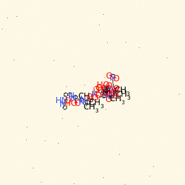 Cc1c(-c2ccc(N3CCc4cccc(C(=O)Nc5nc6ccccc6s5)c4C3)nc2C(=O)O)cnn1CC12CC3(C)CC(C)(C1)CC(OCCN(CCS(=O)(=O)O)C(=O)OCc1ccc(NC(=O)[C@H](C)NC(=O)[C@@H](NC(=O)CCCCCN4C(=O)C=CC4=O)C(C)C)cc1CC[C@@H]1O[C@H](C(=O)O)[C@@H](O)[C@H](O)[C@H]1O)(C3)C2